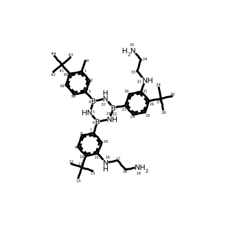 Cc1cc(B2NB(c3ccc(C(C)(C)C)c(NCCN)c3)NB(c3ccc(C(C)(C)C)c(NCCN)c3)N2)ccc1C(C)(C)C